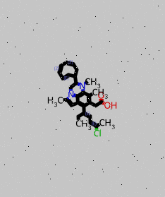 CC/C(=C\C=C(/C)Cl)c1c(CC(=O)O)c(C)c2c3c1cc(C)n3CC(C1/C=C/C=C\C=C/C1)N2C